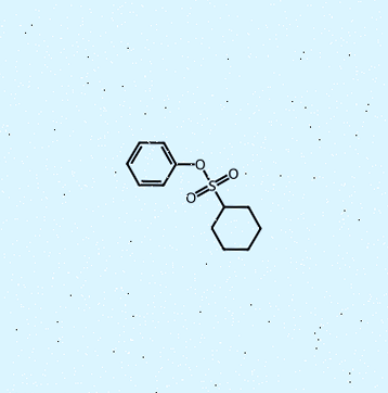 O=S(=O)(Oc1ccccc1)C1CCCCC1